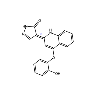 O=C1NN=C/C1=C1\C=C(Sc2ccccc2O)c2ccccc2N1